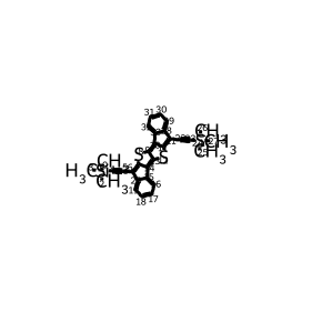 C[Si](C)(C)C#CC1=c2sc3c4c(sc3c2-c2ccccc21)=C(C#CS(C)(C)C)c1ccccc1-4